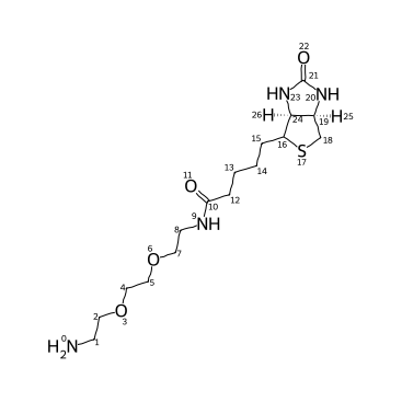 NCCOCCOCCNC(=O)CCCCC1SC[C@@H]2NC(=O)N[C@H]12